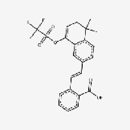 CC1(C)CC=C(OS(=O)(=O)C(F)(F)F)c2cc(C=Cc3ccccc3C(=O)O)ccc21